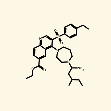 CCOC(=O)c1ccc2ncc(S(=O)(=O)c3ccc(CC)cc3)c(N3CCCN(C(N)CC(C)CC)CC3)c2c1